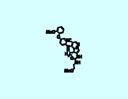 COCCNC(=O)Nc1cn2ncc(C#N)c(Nc3ccc(Oc4ccccc4OC)cc3)c2c1C